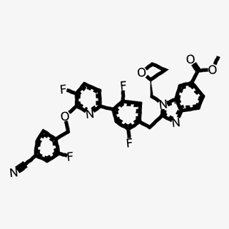 COC(=O)c1ccc2nc(Cc3cc(F)c(-c4ccc(F)c(OCc5ccc(C#N)cc5F)n4)cc3F)n(C[C@@H]3CCO3)c2c1